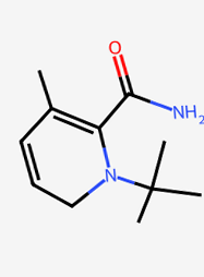 CC1=C(C(N)=O)N(C(C)(C)C)CC=C1